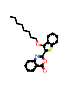 CCCCCCCCOc1c(-c2nc3ccccc3c(=O)o2)sc2ccccc12